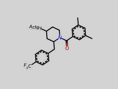 CC(=O)NC1CCN(C(=O)c2cc(C)cc(C)c2)C(Cc2ccc(C(F)(F)F)cc2)C1